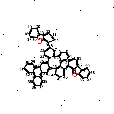 c1ccc2c(c1)-c1cc(-c3cccc4c3oc3ccccc34)ccc1-c1cc3c4ccccc4c4ccccc4c3cc1-c1cccc(-c3cccc4c3oc3ccccc34)c1-2